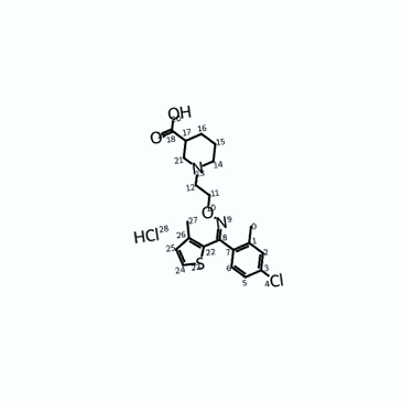 Cc1cc(Cl)ccc1C(=NOCCN1CCCC(C(=O)O)C1)c1sccc1C.Cl